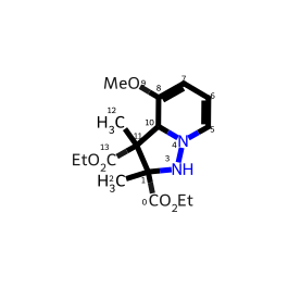 CCOC(=O)C1(C)NN2C=CC=C(OC)C2C1(C)C(=O)OCC